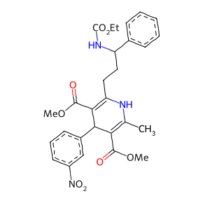 CCOC(=O)NC(CCC1=C(C(=O)OC)C(c2cccc([N+](=O)[O-])c2)C(C(=O)OC)=C(C)N1)c1ccccc1